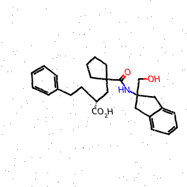 O=C(O)[C@H](CCc1ccccc1)CC1(C(=O)NC2(CO)Cc3ccccc3C2)CCCC1